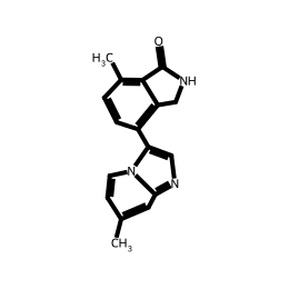 Cc1ccn2c(-c3ccc(C)c4c3CNC4=O)cnc2c1